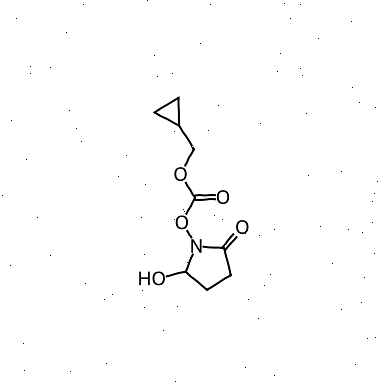 O=C(OCC1CC1)ON1C(=O)CCC1O